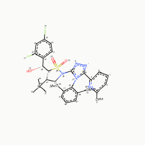 COc1cccc(-c2nnc(N3CC([Si](C)(C)C)[C@H]([C@H](O)c4ccc(F)cc4F)S3(=O)=O)n2-c2c(OC)cccc2OC)n1